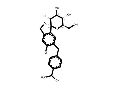 CC(O)c1ccc(Cc2cc3c(cc2Cl)CO[C@]32S[C@H](CO)[C@@H](O)[C@H](O)[C@H]2O)cc1